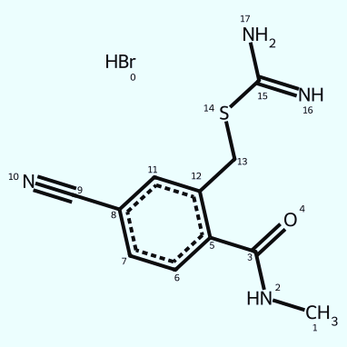 Br.CNC(=O)c1ccc(C#N)cc1CSC(=N)N